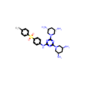 N[C@@H]1C[C@H](N)CN(c2nc(Nc3ccc(S(=O)(=O)c4ccc([N+](=O)[O-])cc4)cc3)nc(N3C[C@H](N)C[C@H](N)C3)n2)C1